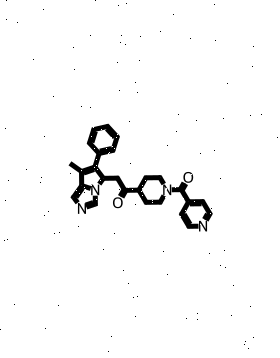 CC1=C(c2ccccc2)C(CC(=O)C2CCN(C(=O)c3ccncc3)CC2)n2cncc21